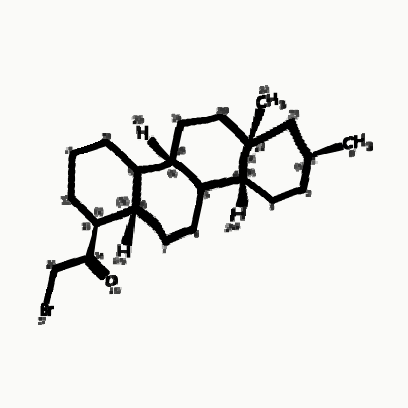 C[C@H]1CC[C@@H]2C3CC[C@H]4C(CCC[C@@H]4C(=O)CBr)[C@@H]3CC[C@]2(C)C1